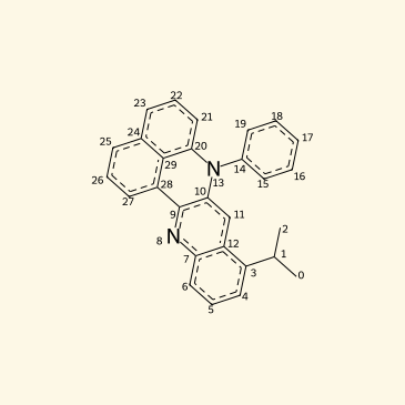 CC(C)c1cccc2nc3c(cc12)N(c1ccccc1)c1cccc2cccc-3c12